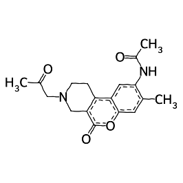 CC(=O)CN1CCc2c(c(=O)oc3cc(C)c(NC(C)=O)cc23)C1